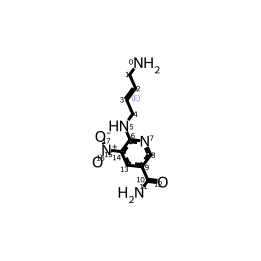 NC/C=C/CNc1ncc(C(N)=O)cc1[N+](=O)[O-]